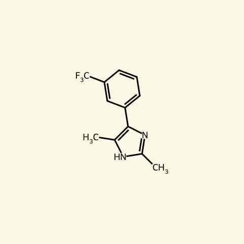 Cc1nc(-c2cccc(C(F)(F)F)c2)c(C)[nH]1